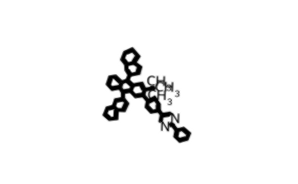 CC(C)(C)c1cc2c(-c3ccc4ccccc4c3)c3ccccc3c(-c3ccc4ccccc4c3)c2cc1-c1ccc(-c2cnc(-c3ccccc3)nc2)cc1